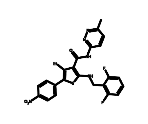 CCc1c(-c2ccc([N+](=O)[O-])cc2)sc(NCc2c(F)cccc2F)c1C(=O)Nc1ccc(C)nn1